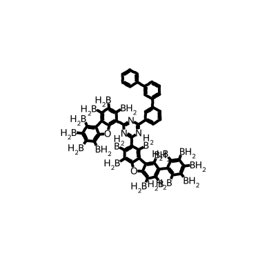 Bc1c(B)c(B)c(-c2c(B)c(B)c3oc4c(B)c(B)c(-c5nc(-c6cccc(-c7cccc(-c8ccccc8)c7)c6)nc(-c6c(B)c(B)c(B)c7c6oc6c(B)c(B)c(B)c(B)c67)n5)c(B)c4c3c2B)c(B)c1B